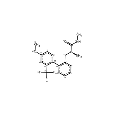 CNC(=O)[C@@H](N)Cc1ccccc1-c1ccc(OC)cc1C(F)(F)F